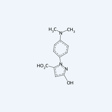 CN(C)c1ccc(-n2nc(O)cc2C(=O)O)cc1